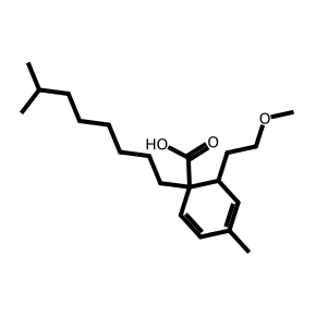 COCCC1C=C(C)C=CC1(CCCCCCC(C)C)C(=O)O